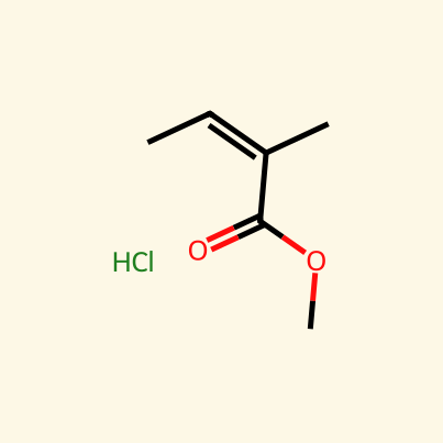 CC=C(C)C(=O)OC.Cl